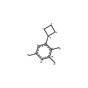 Cc1cc(N2CCC2)c(C)c(C)n1